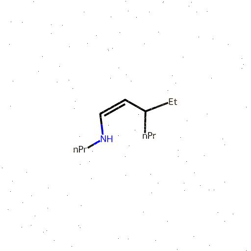 CCCN/C=C\C(CC)CCC